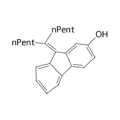 CCCCCC(CCCCC)=C1c2ccccc2-c2ccc(O)cc21